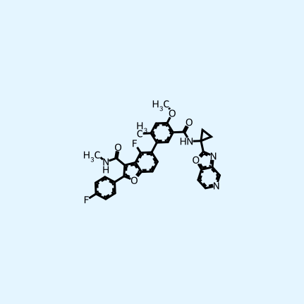 CNC(=O)c1c(-c2ccc(F)cc2)oc2ccc(-c3cc(C(=O)NC4(c5nc6cnccc6o5)CC4)c(OC)cc3C)c(F)c12